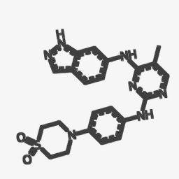 Cc1cnc(Nc2ccc(N3CCS(=O)(=O)CC3)cc2)nc1Nc1ccc2cn[nH]c2c1